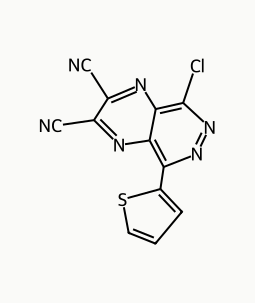 N#Cc1nc2c(Cl)nnc(-c3cccs3)c2nc1C#N